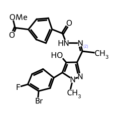 COC(=O)c1ccc(C(=O)N/N=C(/C)c2nn(C)c(-c3ccc(F)c(Br)c3)c2O)cc1